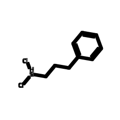 Cl[SiH](Cl)CCCc1ccccc1